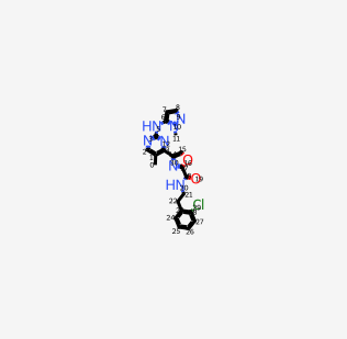 Cc1cnc(Nc2ccnn2C)nc1-c1coc(C(=O)NCCc2ccccc2Cl)n1